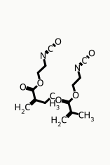 C=C(C)C(=O)OCCN=C=O.C=C(CC)C(=O)OCCN=C=O